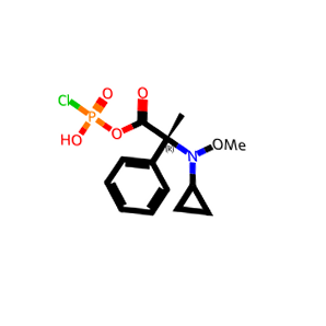 CON(C1CC1)[C@@](C)(C(=O)OP(=O)(O)Cl)c1ccccc1